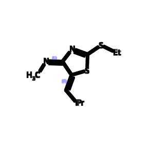 CCSC1=NC(=N/C)/C(=C/C(C)C)S1